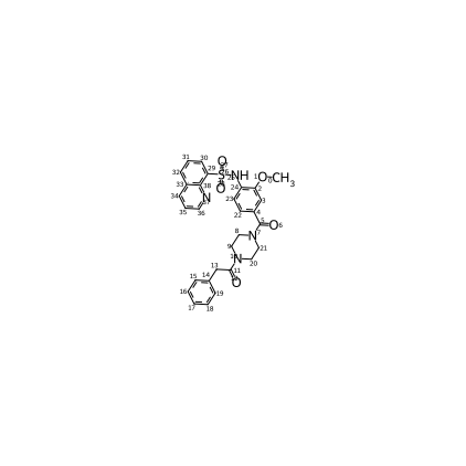 COc1cc(C(=O)N2CCN(C(=O)Cc3ccccc3)CC2)ccc1NS(=O)(=O)c1cccc2cccnc12